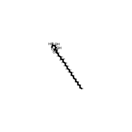 CCCCCCCCCCCCCCCCCCCCCCCCC[C@@]1(O)OC[C@@H](O)[C@H](O)[C@H]1O